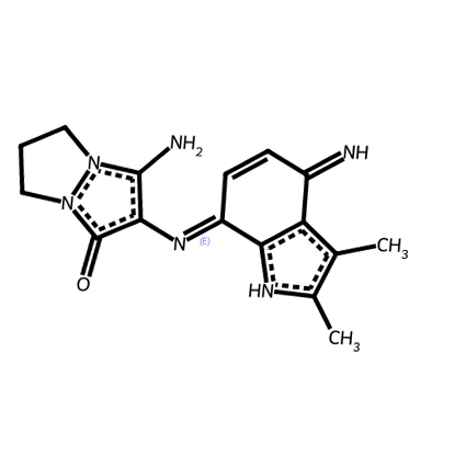 Cc1[nH]c2c(c1C)C(=N)C=C/C2=N\c1c(N)n2n(c1=O)CCC2